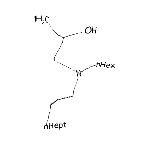 CCCCCCCCCN(CCCCCC)CC(C)O